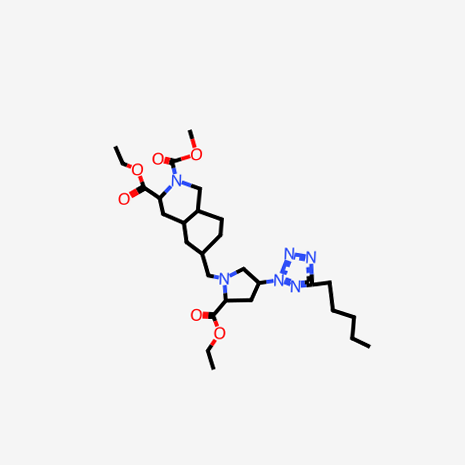 CCCCCc1nnn(C2CC(C(=O)OCC)N(CC3CCC4CN(C(=O)OC)C(C(=O)OCC)CC4C3)C2)n1